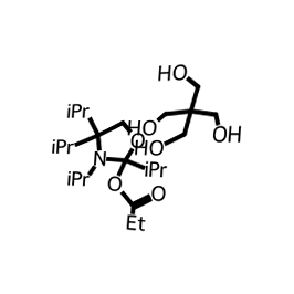 CCC(=O)OC1(C(C)C)OCC(C(C)C)(C(C)C)N1C(C)C.OCC(CO)(CO)CO